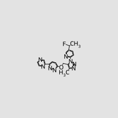 Cc1nnn(-c2ccc(C(C)F)cn2)c1COc1ccc(-c2cnccn2)nn1